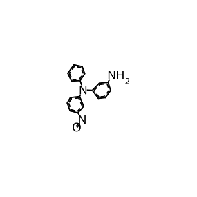 Nc1cccc(N(c2ccccc2)c2cccc(N=O)c2)c1